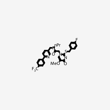 CCCN(Cc1ccc(-c2ccc(C(F)(F)F)cc2)nc1)C(=O)Cn1cc(OC)c(=O)nc1SCc1ccc(F)cc1